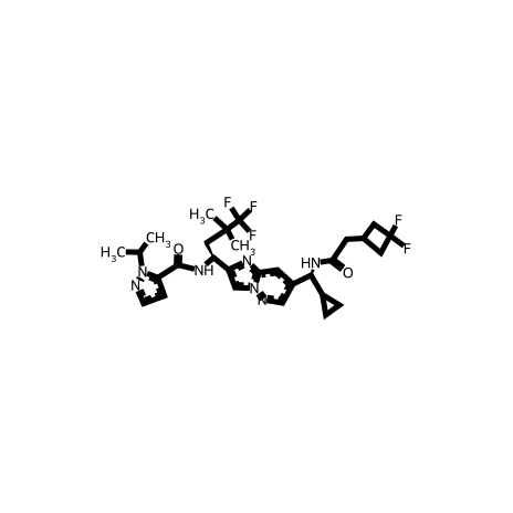 CC(C)n1nccc1C(=O)N[C@@H](CC(C)(C)C(F)(F)F)c1cn2ncc([C@H](NC(=O)CC3CC(F)(F)C3)C3CC3)cc2n1